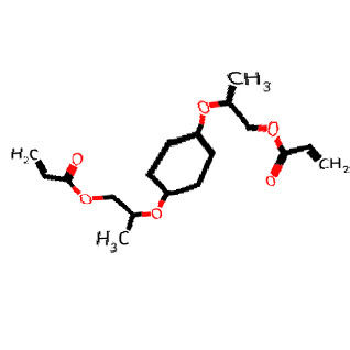 C=CC(=O)OCC(C)OC1CCC(OC(C)COC(=O)C=C)CC1